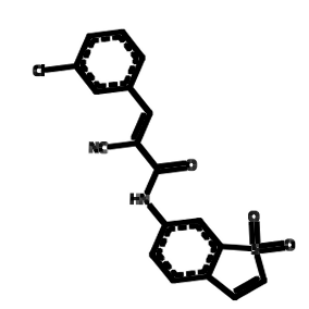 N#C/C(=C\c1cccc(Cl)c1)C(=O)Nc1ccc2c(c1)S(=O)(=O)C=C2